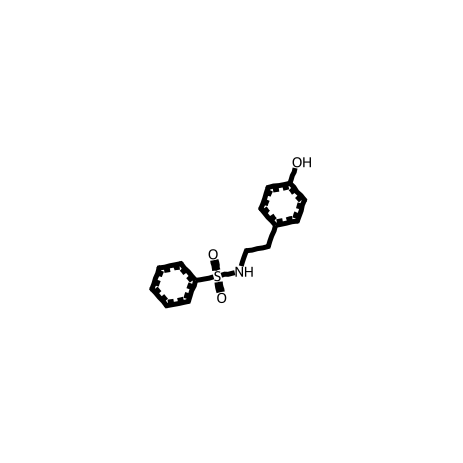 O=S(=O)(NCCc1ccc(O)cc1)c1ccccc1